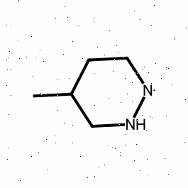 CC1CC[N]NC1